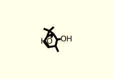 CC1C=CC2C(C)(C)C2(O)C1O